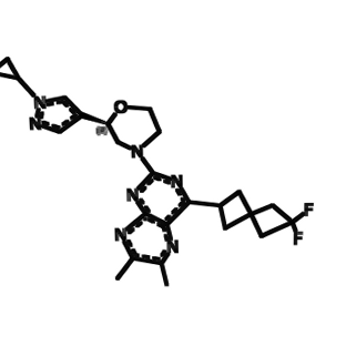 Cc1nc2nc(N3CCO[C@H](c4cnn(C5CC5)c4)C3)nc(C3CC4(C3)CC(F)(F)C4)c2nc1C